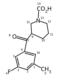 Cc1cc(F)cc(C(=O)C2CCCN(C(=O)O)C2)c1